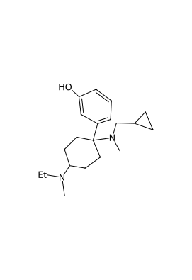 CCN(C)C1CCC(c2cccc(O)c2)(N(C)CC2CC2)CC1